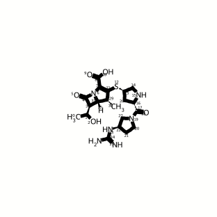 CC(O)[C@H]1C(=O)N2C(C(=O)O)=C(S[C@@H]3CN[C@H](C(=O)N4CC[C@@H](NC(=N)N)C4)C3)[C@H](C)[C@H]12